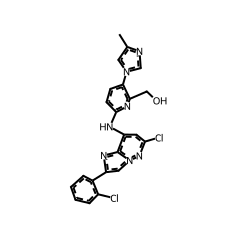 Cc1cn(-c2ccc(Nc3cc(Cl)nn4cc(-c5ccccc5Cl)nc34)nc2CO)cn1